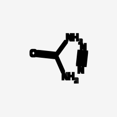 N#N.NC(N)=O